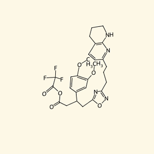 COc1ccc(C(CC(=O)OC(=O)C(F)(F)F)Cc2nc(CCCc3ccc4c(n3)NCCC4)no2)cc1OC